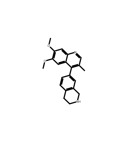 COc1cc2ncc(C)c(-c3ccc4c(c3)CNCC4)c2cc1OC